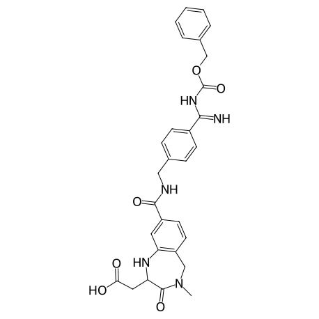 CN1Cc2ccc(C(=O)NCc3ccc(C(=N)NC(=O)OCc4ccccc4)cc3)cc2NC(CC(=O)O)C1=O